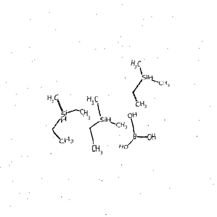 CC[SiH](C)C.CC[SiH](C)C.CC[SiH](C)C.OB(O)O